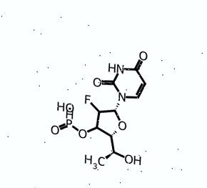 C[C@H](O)[C@H]1O[C@@H](n2ccc(=O)[nH]c2=O)C(F)C1O[PH](=O)O